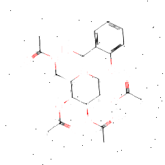 CC(=O)OC[C@H]1O[C@H](Oc2ccccc2CO)[C@H](OC(C)=O)[C@@H](OC(C)=O)[C@H]1OC(C)=O